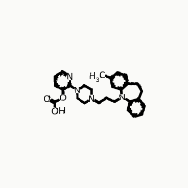 Cc1ccc2c(c1)N(CCCN1CCN(c3ncccc3OC(=O)O)CC1)c1ccccc1CC2